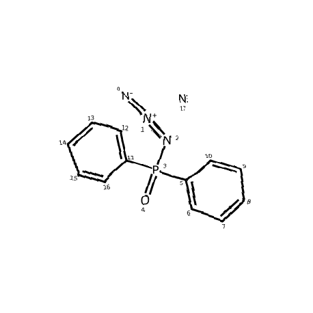 [N-]=[N+]=NP(=O)(c1ccccc1)c1ccccc1.[N]